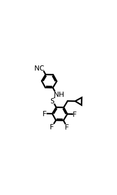 N#Cc1ccc(NSc2c(F)c(F)c(F)c(F)c2CC2CC2)cc1